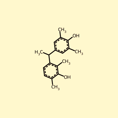 Cc1cc(C(C)c2ccc(C)c(O)c2C)cc(C)c1O